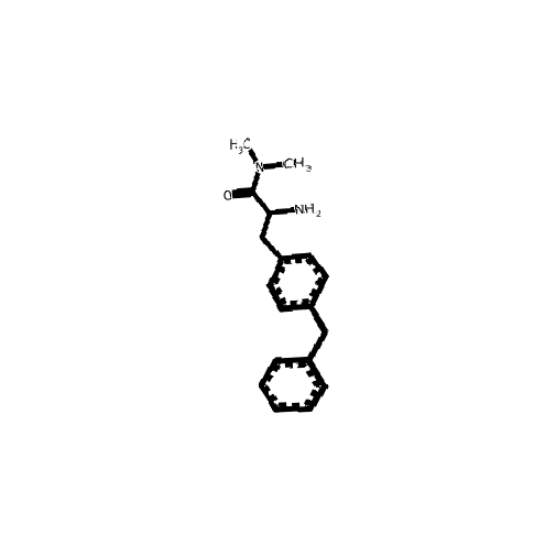 CN(C)C(=O)C(N)Cc1ccc(Cc2ccccc2)cc1